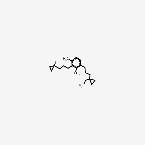 CCC1(CCCc2ccc(C)c(CCCC3(I)CC3)c2C)CC1